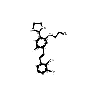 N#CCCOc1cc(/C=C/c2cccc(Br)c2Cl)c(Cl)cc1C1OCCO1